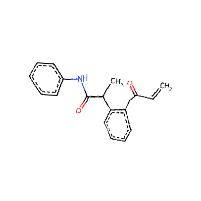 C=CC(=O)c1ccccc1C(C)C(=O)Nc1ccccc1